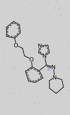 c1ccc(OCCOc2ccccc2/C(=N\N2CCCCC2)n2ccnc2)cc1